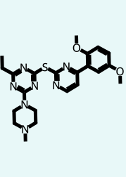 CCc1nc(Sc2nccc(-c3cc(OC)ccc3OC)n2)nc(N2CCN(C)CC2)n1